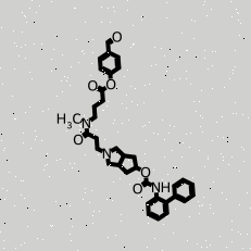 CN(CCCC(=O)Oc1ccc(C=O)cc1)C(=O)CCN1CC2CC(OC(=O)Nc3ccccc3-c3ccccc3)CC2C1